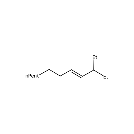 CCCCCCCC=CC(CC)CC